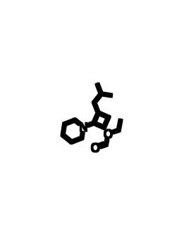 CC(C)CC1CCC1N1CCCCC1.CCOC=O